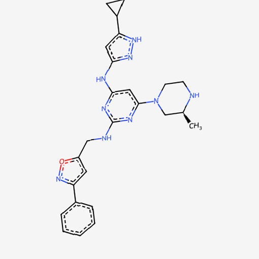 C[C@H]1CN(c2cc(Nc3cc(C4CC4)[nH]n3)nc(NCc3cc(-c4ccccc4)no3)n2)CCN1